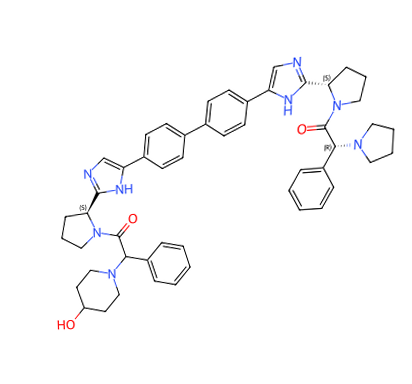 O=C(C(c1ccccc1)N1CCC(O)CC1)N1CCC[C@H]1c1ncc(-c2ccc(-c3ccc(-c4cnc([C@@H]5CCCN5C(=O)[C@@H](c5ccccc5)N5CCCC5)[nH]4)cc3)cc2)[nH]1